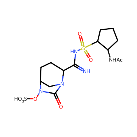 CC(=O)NC1CCCC1S(=O)(=O)NC(=N)C1CCC2CN1C(=O)N2OS(=O)(=O)O